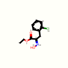 CCOC(=O)/C(Cc1ccccc1Cl)=N\O